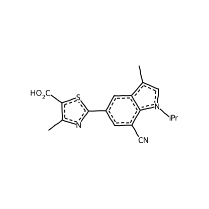 Cc1nc(-c2cc(C#N)c3c(c2)c(C)cn3C(C)C)sc1C(=O)O